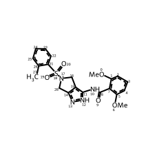 COc1cccc(OC)c1C(=O)Nc1[nH]nc2c1CN(S(=O)(=O)c1ccccc1C)C2